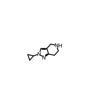 c1c2c(nn1C1CC1)CCNC2